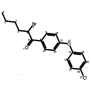 CCCCC(Br)C(=O)c1ccc(Oc2ccc(Cl)cc2)cc1